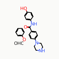 O=C(Nc1ccc(O)cc1)c1ccc(N2CCNCC2)cc1.O=COc1ccccc1